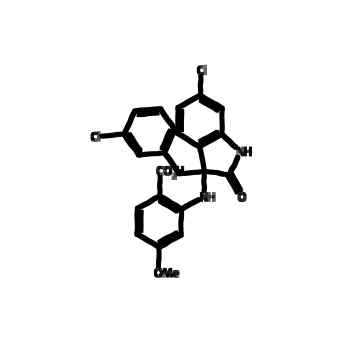 COc1ccc(C(=O)O)c(NC2(Cc3cccc(Cl)c3)C(=O)Nc3cc(Cl)ccc32)c1